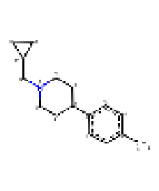 Cc1ccc(C2CCN(CC3CC3)CC2)cc1